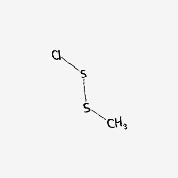 CSSCl